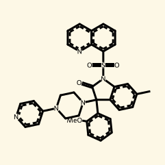 COc1ccccc1C1(N2CCN(c3ccncc3)CC2)C(=O)N(S(=O)(=O)c2cccc3cccnc23)c2cc(C)ccc21